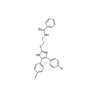 O=C(NCCSc1nc(-c2ccc(F)cc2)c(-c2ccc(F)cc2)[nH]1)c1ccccc1